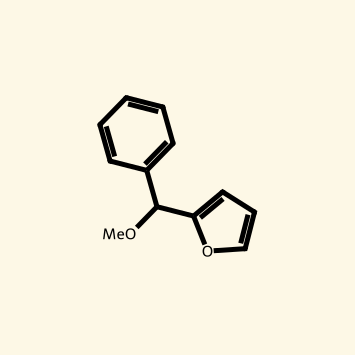 COC(c1ccccc1)c1ccco1